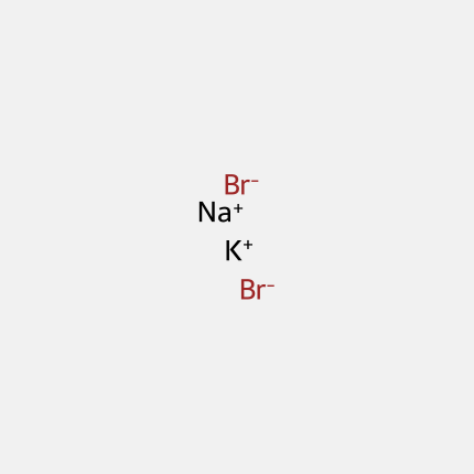 [Br-].[Br-].[K+].[Na+]